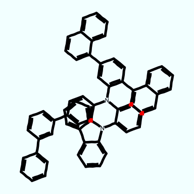 c1ccc(-c2cccc(-c3ccc(N(c4cc(-c5cccc6ccccc56)ccc4-c4cccc5ccccc45)c4ccccc4-n4c5ccccc5c5ccccc54)cc3)c2)cc1